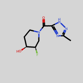 Cc1n[nH]c(C(=O)N2CC[C@H](O)[C@H](F)C2)n1